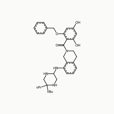 CCCCC1(CCC)CNC(Nc2cccc3c2CN(C(=O)c2c(O)cc(O)cc2OCc2ccccc2)CC3)CN1